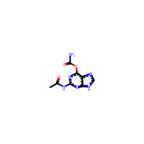 CC(=O)Nc1nc(OC(N)=O)c2nc[nH]c2n1